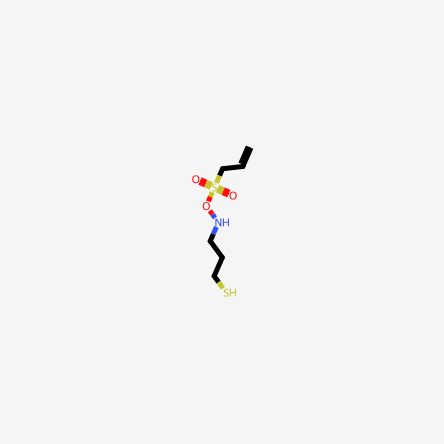 C=CCS(=O)(=O)ONCCCS